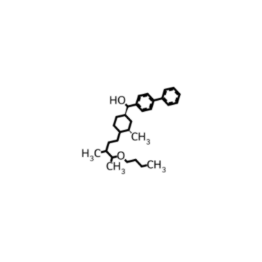 CCCCOC(C)C(C)CCC1CC[C@@H](C(O)c2ccc(-c3ccccc3)cc2)C[C@@H]1C